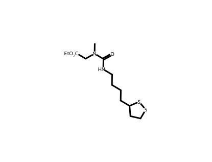 CCOC(=O)CN(C)C(=O)NCCCCC1CCSS1